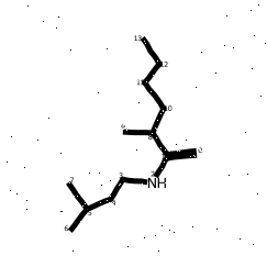 C=C(NCCC(C)C)C(C)CCCC